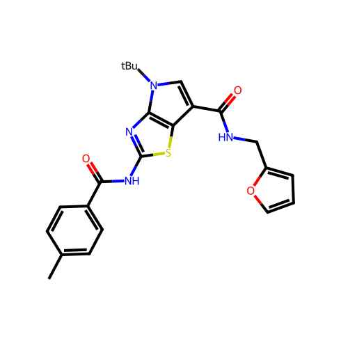 Cc1ccc(C(=O)Nc2nc3c(s2)c(C(=O)NCc2ccco2)cn3C(C)(C)C)cc1